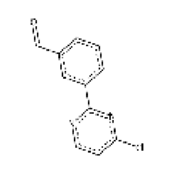 O=Cc1cccc(-c2nccc(Cl)n2)c1